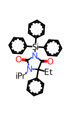 CCC1(c2ccccc2)C(=O)N([Si](c2ccccc2)(c2ccccc2)c2ccccc2)C(=O)N1C(C)C